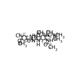 C=CC(=O)Nc1cc(Nc2ncnc(Oc3ccc(Cl)c(OC)c3)n2)c(OC)cc1N(C)CCN(C)C